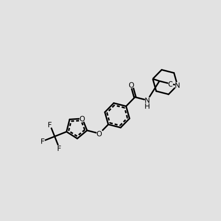 O=C(NC1CN2CCC1CC2)c1ccc(Oc2cc(C(F)(F)F)co2)cc1